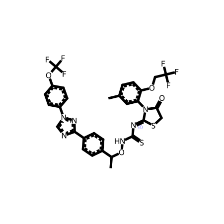 Cc1ccc(OCC(F)(F)F)c(N2C(=O)CS/C2=N\C(=S)NOC(C)c2ccc(-c3ncn(-c4ccc(OC(F)(F)F)cc4)n3)cc2)c1